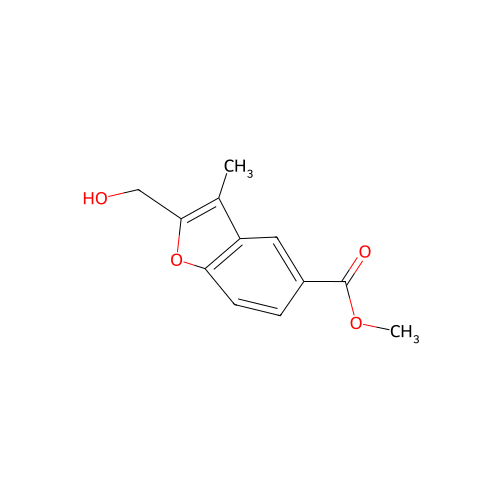 COC(=O)c1ccc2oc(CO)c(C)c2c1